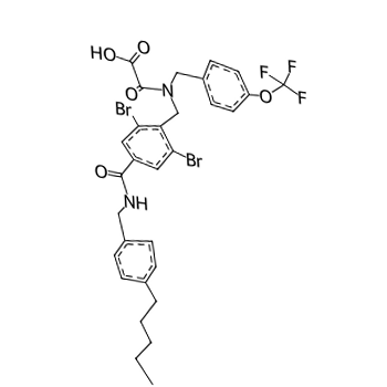 CCCCCc1ccc(CNC(=O)c2cc(Br)c(CN(Cc3ccc(OC(F)(F)F)cc3)C(=O)C(=O)O)c(Br)c2)cc1